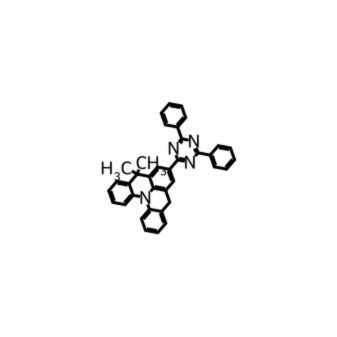 CC1(C)c2ccccc2N2c3ccccc3Cc3cc(-c4nc(-c5ccccc5)nc(-c5ccccc5)n4)cc1c32